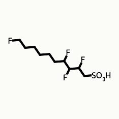 O=S(=O)(O)CC(F)C(F)C(F)CCCCCCF